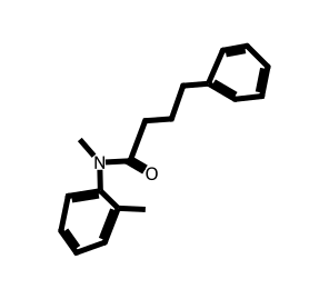 Cc1ccccc1N(C)C(=O)CCCc1ccccc1